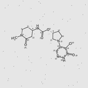 CN1CCC(NC(=O)O[C@@H]2CCN(c3cn[nH]c(=O)c3Cl)C2)CC1=O